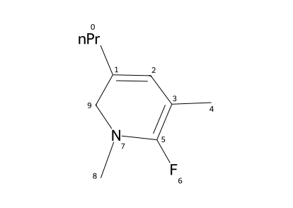 CCCC1=CC(C)=C(F)N(C)C1